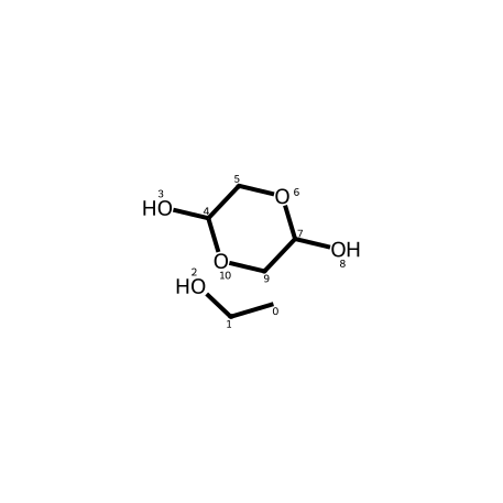 CCO.OC1COC(O)CO1